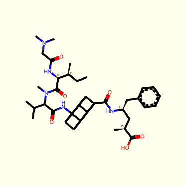 CC[C@H](C)[C@H](NC(=O)CN(C)C)C(=O)N(C)C(C(=O)NC12C3C4C1C1C2C3C41C(=O)N[C@@H](Cc1ccccc1)C[C@H](C)C(=O)O)C(C)C